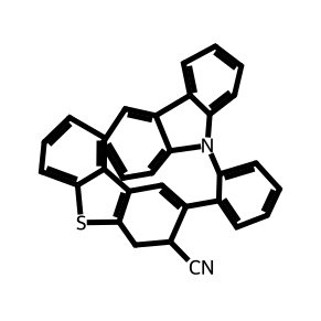 N#CC1Cc2sc3ccccc3c2C=C1c1ccccc1-n1c2ccccc2c2ccccc21